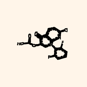 O=C(O)Oc1cn(-c2c(F)cccc2F)c2nc(Cl)ccc2c1=O